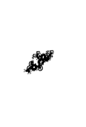 COc1cc(C(=O)N2CCC3(CC2)c2ccc(C(F)(F)F)n2CCN3CC(F)F)ccc1OC(C)C